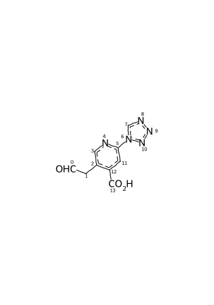 O=CCc1cnc(-n2cnnn2)cc1C(=O)O